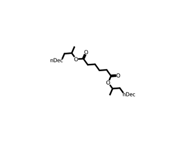 CCCCCCCCCCCC(C)OC(=O)CCCCC(=O)OC(C)CCCCCCCCCCC